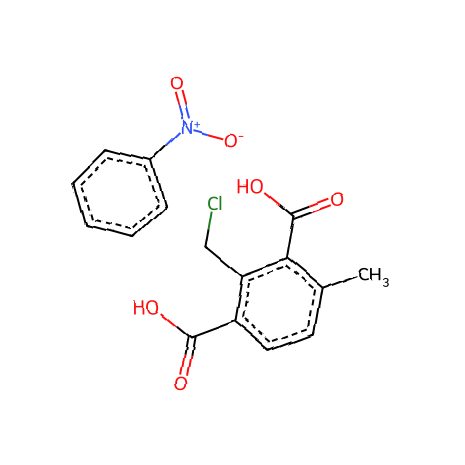 Cc1ccc(C(=O)O)c(CCl)c1C(=O)O.O=[N+]([O-])c1ccccc1